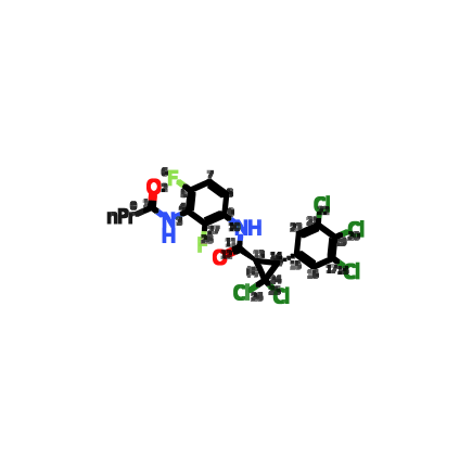 CCCC(=O)Nc1c(F)ccc(NC(=O)[C@H]2[C@H](c3cc(Cl)c(Cl)c(Cl)c3)C2(Cl)Cl)c1F